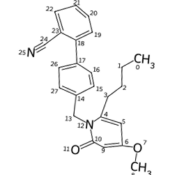 CCCCc1cc(OC)cc(=O)n1Cc1ccc(-c2ccccc2C#N)cc1